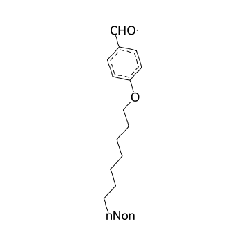 CCCCCCCCCCCCCCCCOc1ccc([C]=O)cc1